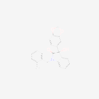 O=C1N(Cc2ccccc2C(F)(F)F)c2ccccc2C1(O)c1ccc2c(c1)OCO2